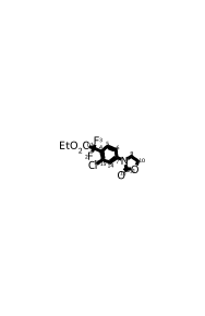 CCOC(=O)C(F)(F)c1ccc(N2CCOC2=O)cc1Cl